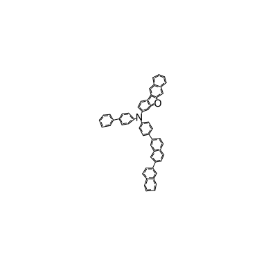 c1ccc(-c2ccc(N(c3ccc(-c4ccc5ccc(-c6ccc7ccccc7c6)cc5c4)cc3)c3ccc4c(c3)oc3cc5ccccc5cc34)cc2)cc1